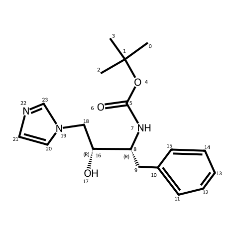 CC(C)(C)OC(=O)N[C@H](Cc1ccccc1)[C@H](O)Cn1ccnc1